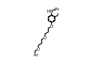 CC(=O)COCCCOCCCOc1ccc(NC(C)C)c(F)c1